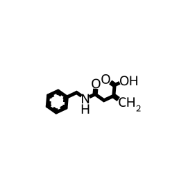 C=C(CC(=O)NCc1ccccc1)C(=O)O